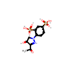 CC(=O)C1=NN(c2ccc(S(=O)(=O)O)cc2S(=O)(=O)O)CC1=O